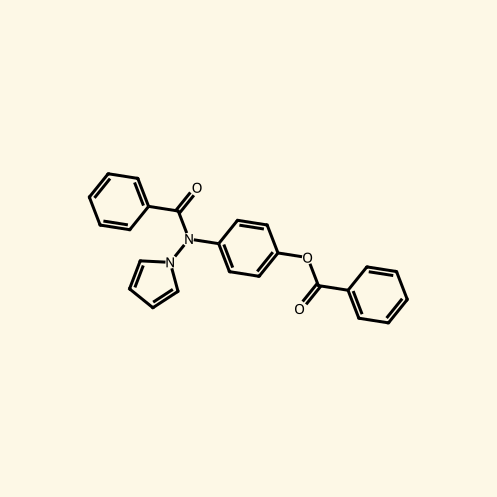 O=C(Oc1ccc(N(C(=O)c2ccccc2)n2cccc2)cc1)c1ccccc1